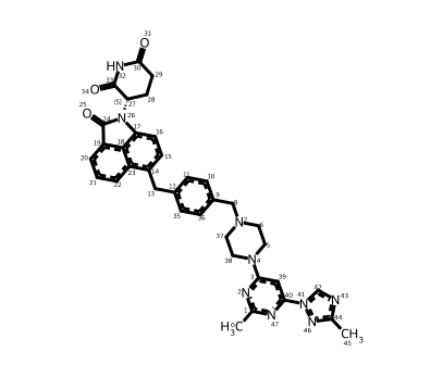 Cc1nc(N2CCN(Cc3ccc(Cc4ccc5c6c(cccc46)C(=O)N5[C@H]4CCC(=O)NC4=O)cc3)CC2)cc(-n2cnc(C)n2)n1